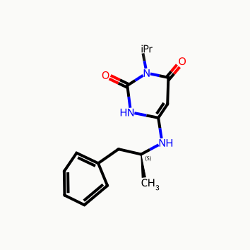 CC(C)n1c(=O)cc(N[C@@H](C)Cc2ccccc2)[nH]c1=O